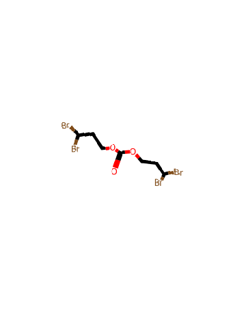 O=C(OCCC(Br)Br)OCCC(Br)Br